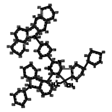 CC1(C)c2ccc(-c3ccccc3)cc2-c2nc(-c3ccc(-n4c5cc6ccccc6cc5c5ccc6ccccc6c54)cc3)nc(-c3cccc4c3c3ccccc3n4-c3ccccc3)c21